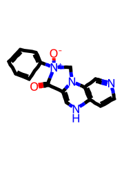 O=C1C2=CNc3ccncc3N2C[N+]1([O-])c1ccccc1